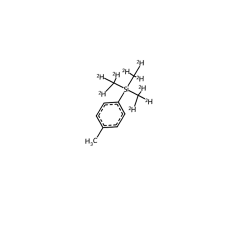 [2H]C([2H])([2H])[Si](c1ccc(C)cc1)(C([2H])([2H])[2H])C([2H])([2H])[2H]